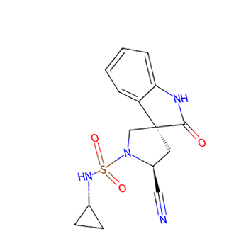 N#C[C@@H]1C[C@@]2(CN1S(=O)(=O)NC1CC1)C(=O)Nc1ccccc12